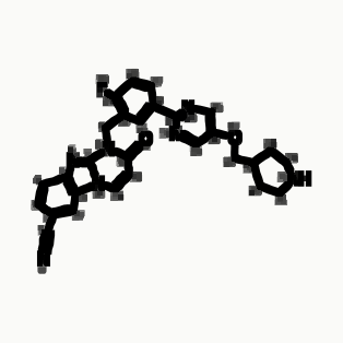 N#Cc1ccc2nc3n(Cc4cc(-c5ncc(OCC6CCNCC6)cn5)ccc4F)c(=O)ccn3c2c1